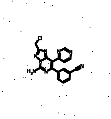 N#Cc1cccc(-c2nc(N)n3nc(CCl)nc3c2-c2ccncn2)c1